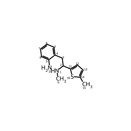 CNC(Cc1ccccc1N)c1ccc(C)s1